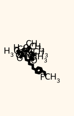 CC(F)Cc1ccc(CCCC(CC(NC(=O)OC(C)(C)C)C(=O)OC(C)(C)C)C(=O)OC(C)(C)C)cc1